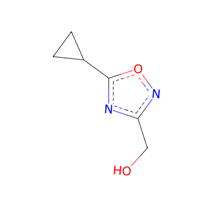 OCc1noc(C2CC2)n1